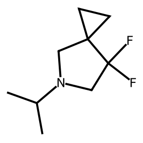 CC(C)N1CC(F)(F)C2(CC2)C1